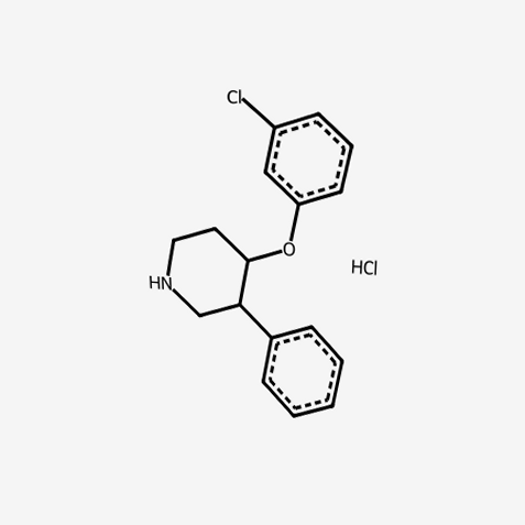 Cl.Clc1cccc(OC2CCNCC2c2ccccc2)c1